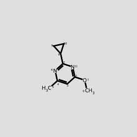 COc1cc(C)nc(C2CC2)n1